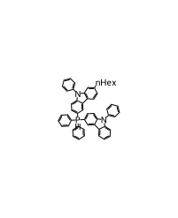 CCCCCCc1ccc2c3cc([PH](c4ccccc4)(c4ccccc4)c4ccc5c(c4)c4ccccc4n5-c4ccccc4)ccc3n(-c3ccccc3)c2c1